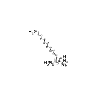 CCCCCCCCCCCCCCCCC(CCCN)C1=NCCN1